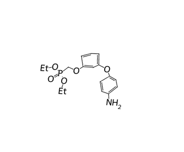 CCOP(=O)(COc1cccc(Oc2ccc(N)cc2)c1)OCC